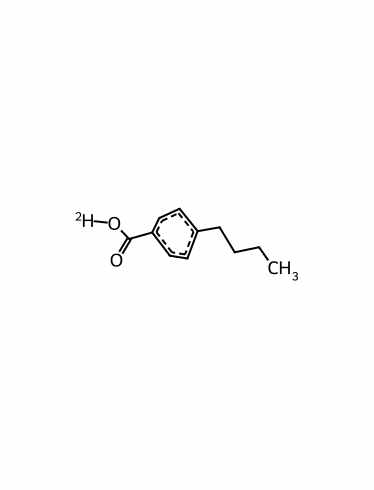 [2H]OC(=O)c1ccc(CCCC)cc1